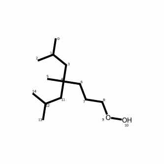 CC(C)CC(C)(CCCOO)CC(C)C